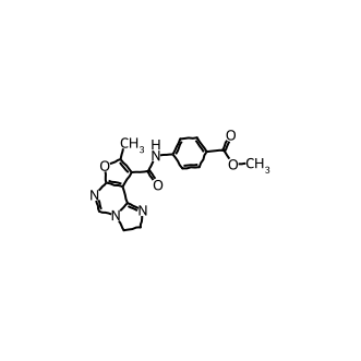 COC(=O)c1ccc(NC(=O)c2c(C)oc3c2C2=NCCN2C=N3)cc1